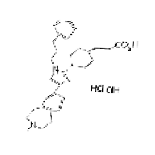 CN1CCc2ccc(-c3cn(CCCc4ccccc4)c([C@H]4CC[C@H](CCC(=O)O)CC4)n3)cc2CC1.Cl.Cl